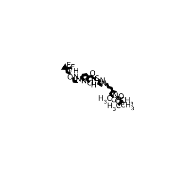 CC(C)(C)OC(=O)N1CC(CCCn2ccc(SNC(=O)c3ccc(N4C=CC(OCCC5(C(F)(F)F)CC5)N4)nc3Cl)n2)CC1(C)C